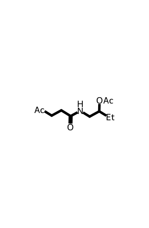 CCC(CNC(=O)CCC(C)=O)OC(C)=O